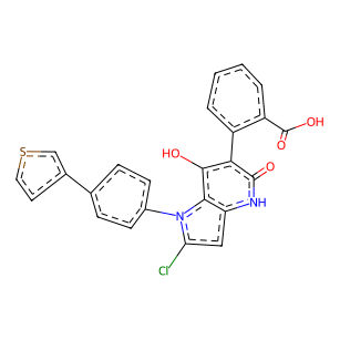 O=C(O)c1ccccc1-c1c(O)c2c(cc(Cl)n2-c2ccc(-c3ccsc3)cc2)[nH]c1=O